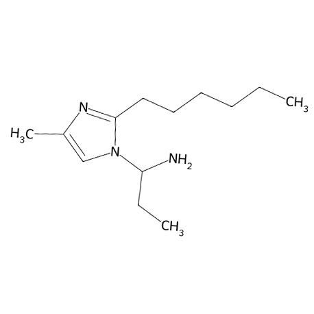 CCCCCCc1nc(C)cn1C(N)CC